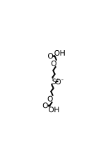 O=C(O)COCCCC[S+]([O-])CCCCOCC(=O)O